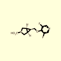 O=C(O)N1C[C@@H]2[C@H](COc3c(F)cncc3F)[C@@H]2C1